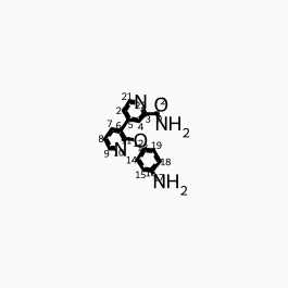 NC(=O)c1cc(-c2cccnc2Oc2ccc(N)cc2)ccn1